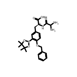 COC(=O)[C@H](Cc1ccc(OCc2ccccc2)c(B2OC(C)(C)C(C)(C)O2)c1)NC(=O)C(N)N